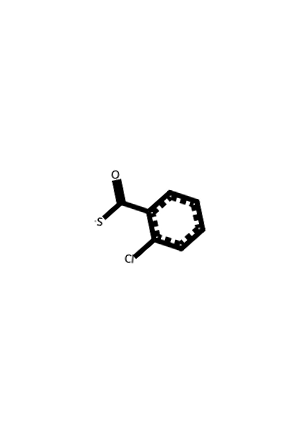 O=C([S])c1ccccc1Cl